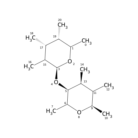 CC1O[C@@H](O[C@@H]2C(C)O[C@H](C)C(C)[C@@H]2C)C(C)[C@H](C)[C@@H]1C